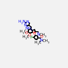 COc1cc(Cc2cnc(N)nc2N)c2cc(CN(C)c3cc(F)ccc3C(=O)N(C)C)oc2c1OC